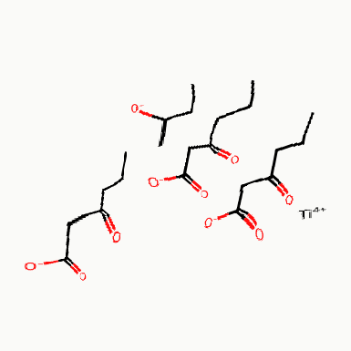 CCC(C)[O-].CCCC(=O)CC(=O)[O-].CCCC(=O)CC(=O)[O-].CCCC(=O)CC(=O)[O-].[Ti+4]